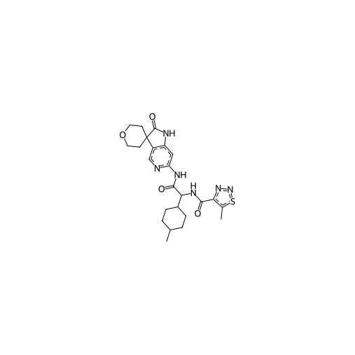 Cc1snnc1C(=O)NC(C(=O)Nc1cc2c(cn1)C1(CCOCC1)C(=O)N2)C1CCC(C)CC1